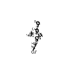 O=C(O)C(F)(F)F.OCCNC[C@@H](O)Cn1cc2c(n1)CCc1c-2sc2ncnc(Nc3ccc(OCc4cccc(F)c4)c(Cl)c3)c12